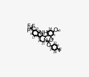 COc1ccc(C2c3[nH]c4cc(C(F)(F)F)ccc4c3CCN2C(=O)Oc2ccc(F)cc2)cc1